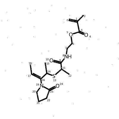 C=C(C)C(=O)OCCNC(=O)C(C)SC(C)C(=CC)N1CCCC1=O